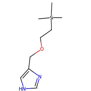 C[Si](C)(C)CCOCc1c[nH][c]n1